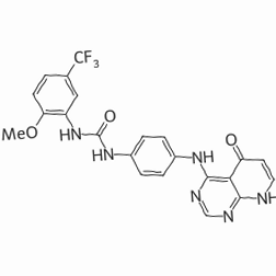 COc1ccc(C(F)(F)F)cc1NC(=O)Nc1ccc(Nc2ncnc3[nH]ccc(=O)c23)cc1